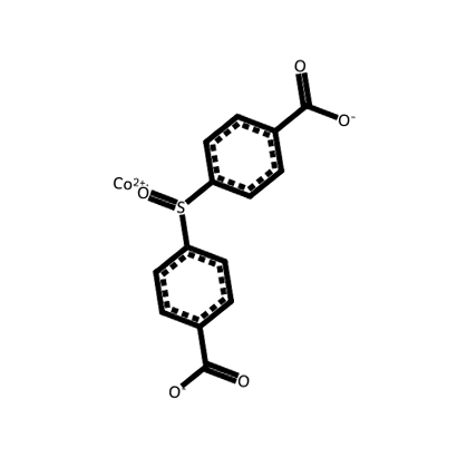 O=C([O-])c1ccc(S(=O)c2ccc(C(=O)[O-])cc2)cc1.[Co+2]